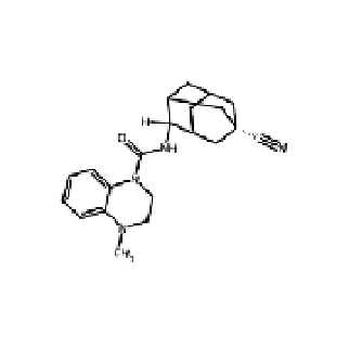 CN1CCN(C(=O)N[C@H]2C3CC4CC2C[C@@](C#N)(C4)C3)c2ccccc21